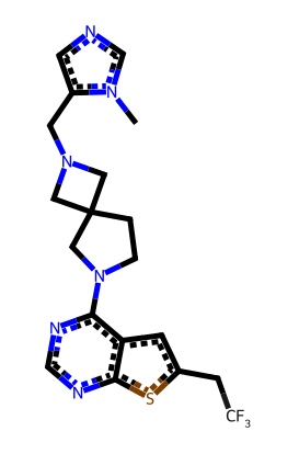 Cn1cncc1CN1CC2(CCN(c3ncnc4sc(CC(F)(F)F)cc34)C2)C1